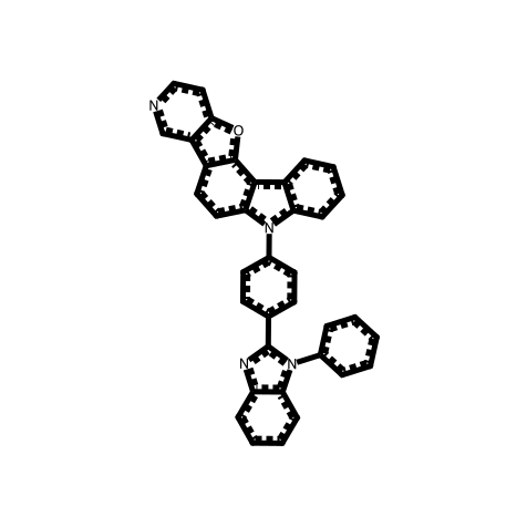 c1ccc(-n2c(-c3ccc(-n4c5ccccc5c5c6oc7ccncc7c6ccc54)cc3)nc3ccccc32)cc1